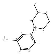 CC1CCCN(c2cc(Cl)ncn2)C1